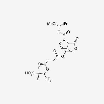 COC(OC(=O)C1C2CC3C(OC(=O)C31)C2OC(=O)CCC(=O)OC(C(F)(F)F)C(F)(F)S(=O)(=O)O)C(C)C